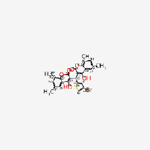 Cc1cc(C)c2oc(=O)c(C(c3cc(Br)cs3)c3c(O)c4cc(C)cc(C)c4oc3=O)c(O)c2c1